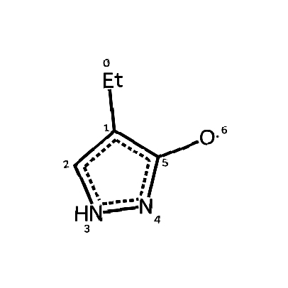 [CH2]Cc1c[nH]nc1[O]